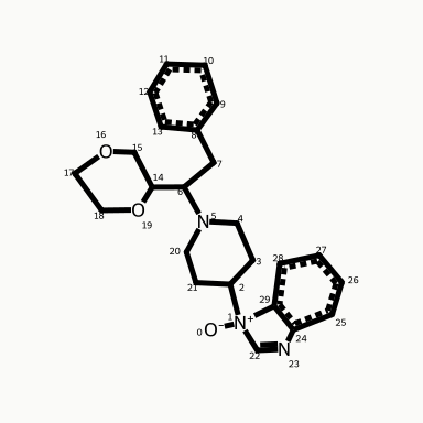 [O-][N+]1(C2CCN(C(Cc3ccccc3)C3COCCO3)CC2)C=Nc2ccccc21